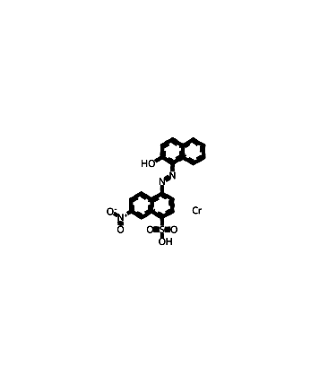 O=[N+]([O-])c1ccc2c(N=Nc3c(O)ccc4ccccc34)ccc(S(=O)(=O)O)c2c1.[Cr]